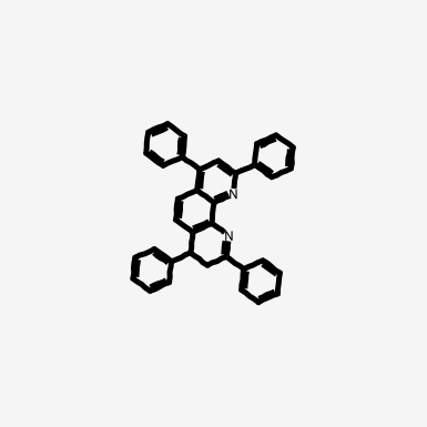 c1ccc(C2=Nc3c(ccc4c(-c5ccccc5)cc(-c5ccccc5)nc34)C(c3ccccc3)C2)cc1